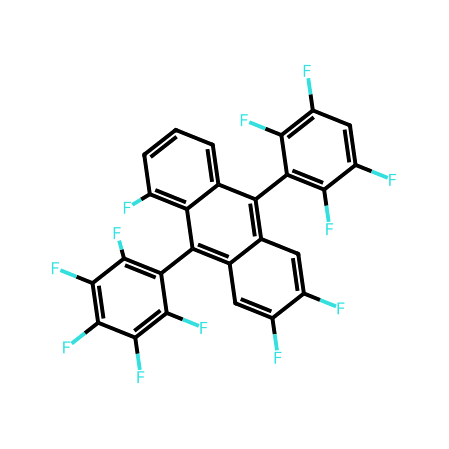 Fc1cc2c(-c3c(F)c(F)cc(F)c3F)c3cccc(F)c3c(-c3c(F)c(F)c(F)c(F)c3F)c2cc1F